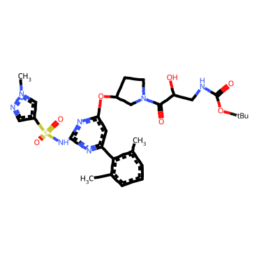 Cc1cccc(C)c1-c1cc(OC2CCN(C(=O)C(O)CNC(=O)OC(C)(C)C)C2)nc(NS(=O)(=O)c2cnn(C)c2)n1